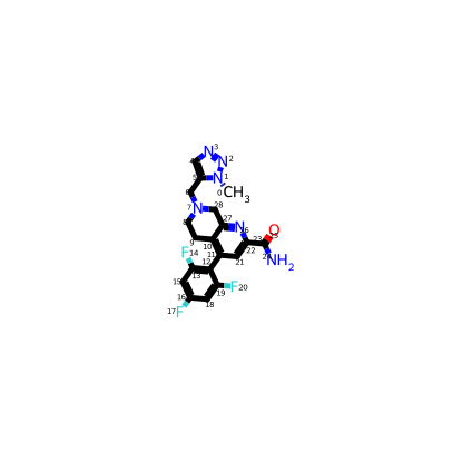 Cn1nncc1CN1CCc2c(-c3c(F)cc(F)cc3F)cc(C(N)=O)nc2C1